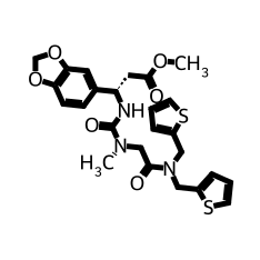 COC(=O)C[C@H](NC(=O)N(C)CC(=O)N(Cc1cccs1)Cc1cccs1)c1ccc2c(c1)OCO2